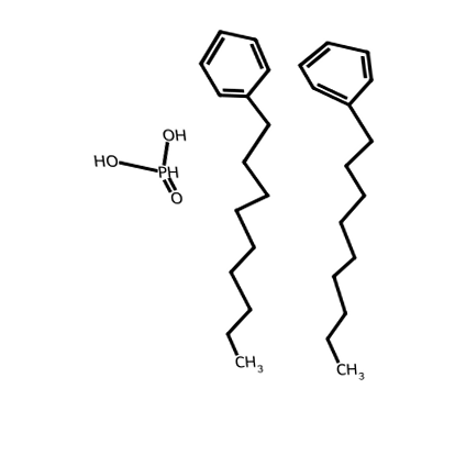 CCCCCCCCCc1ccccc1.CCCCCCCCCc1ccccc1.O=[PH](O)O